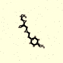 CCOC(=O)COCCN1CCN(C)CC1